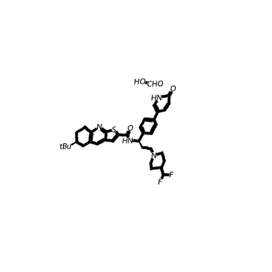 CC(C)(C)[C@H]1CCc2nc3sc(C(=O)N[C@H](CCN4CCC(C(F)F)CC4)c4ccc(-c5ccc(=O)[nH]c5)cc4)cc3cc2C1.O=CO